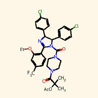 CCOc1cc(C(F)(F)F)ccc1C1=NC(c2ccc(Cl)cc2)C(c2ccc(Cl)cc2)N1C(=O)N1CCN(C(=O)C(C)(C)OC(C)=O)CC1